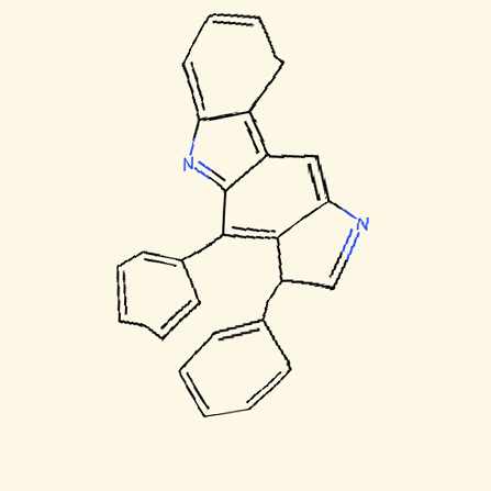 C1=CCC2=c3cc4c(c(-c5ccccc5)c3=NC2=C1)C(c1ccccc1)C=N4